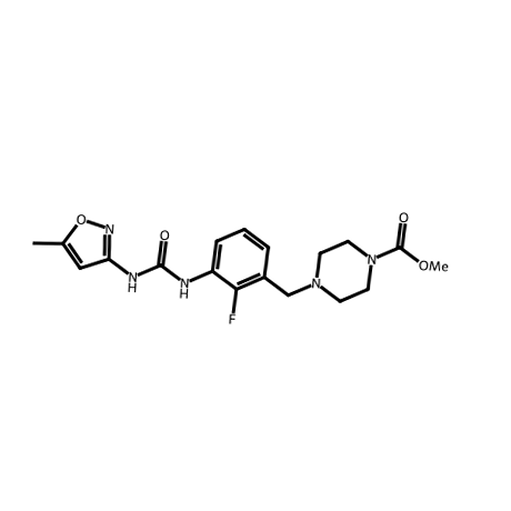 COC(=O)N1CCN(Cc2cccc(NC(=O)Nc3cc(C)on3)c2F)CC1